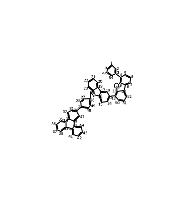 c1ccc(-c2cccc3c2oc2c(-c4ccc5c(c4)c4ccccc4n5-c4ccc(-c5ccc6c7ccccc7c7ccccc7c6c5)cc4)cccc23)cc1